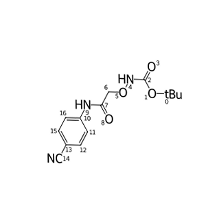 CC(C)(C)OC(=O)NOCC(=O)Nc1ccc(C#N)cc1